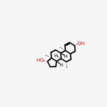 C[C@H]1CC2C[C@@H](O)C=C[C@]2(C)[C@H]2CC[C@]3(C)[C@@H](O)CC[C@H]3[C@H]12